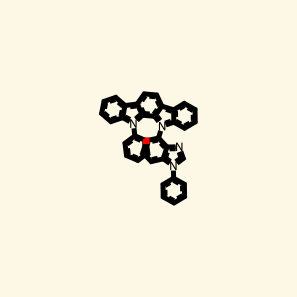 c1ccc(-n2cnc3c(-n4c5ccccc5c5ccc6c7ccccc7n(-c7ccccc7)c6c54)cccc32)cc1